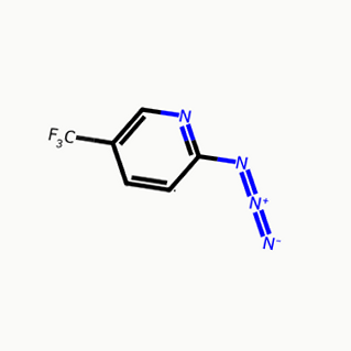 [N-]=[N+]=Nc1[c]cc(C(F)(F)F)cn1